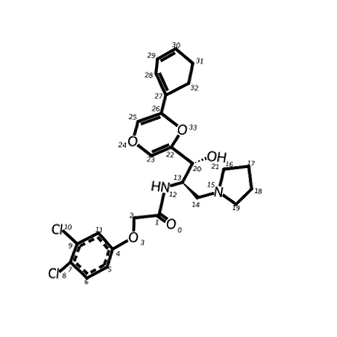 O=C(COc1ccc(Cl)c(Cl)c1)N[C@H](CN1CCCC1)[C@@H](O)C1=COC=C(C2=CC=CCC2)O1